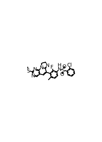 CSc1ncc2c(n1)N1CCN=C1C(c1c(C)ccc(NS(=O)(=O)c3ccccc3Cl)c1F)=C2